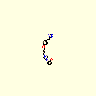 COc1ccccc1N1CCN(CCCCOc2ccc(CCc3nc[nH]n3)cc2)CC1